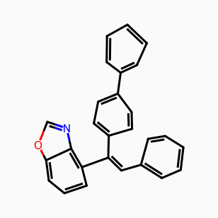 C(=C(c1ccc(-c2ccccc2)cc1)c1cccc2ocnc12)c1ccccc1